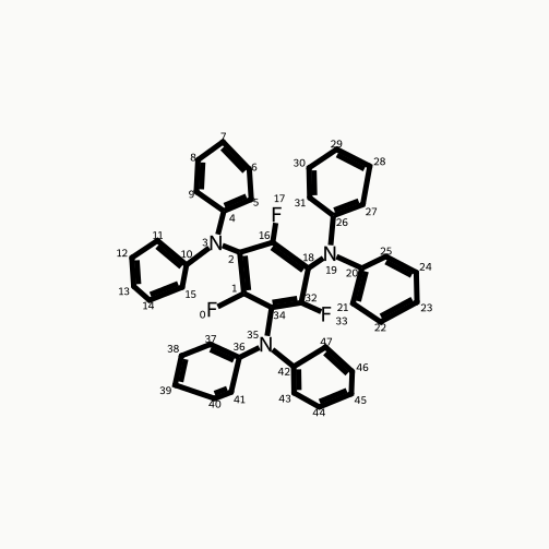 Fc1c(N(c2ccccc2)c2ccccc2)c(F)c(N(c2ccccc2)c2ccccc2)c(F)c1N(c1ccccc1)c1ccccc1